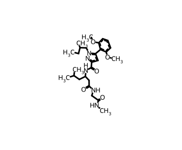 CCC(C)Cn1nc(C(=O)NC(CC(=O)NCC(=O)NC)CC(C)C)cc1-c1c(OC)cccc1OC